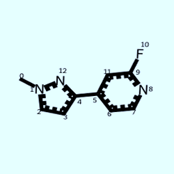 Cn1ccc(-c2ccnc(F)c2)n1